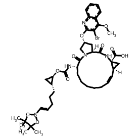 COc1c(Br)c(O[C@@H]2C[C@H]3C(=O)N[C@]4(C(=O)O)C[C@H]4/C=C\CCCCC[C@H](NC(=O)O[C@@H]4C[C@H]4CCC/C=C/B4OC(C)(C)C(C)(C)O4)C(=O)N3C2)nc2ccccc12